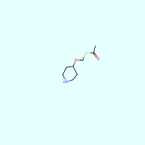 CC(=O)SCOC1CCNCC1